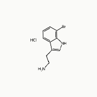 Cl.NCCc1c[nH]c2c(Br)cccc12